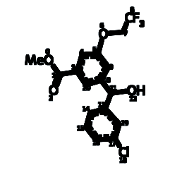 COC(=O)c1cc(OCC(F)(F)F)cc(C(O)c2cccc(Cl)c2)c1